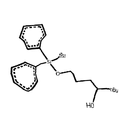 CCCCC(O)CCCO[Si](c1ccccc1)(c1ccccc1)C(C)(C)C